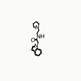 O=C(Cn1c[c]c2ccccc21)NCCN1CCCC1